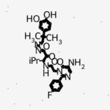 CC(C)[C@H](NC(=O)Cn1c(-c2ccc(F)cc2)ncc(N)c1=O)C(=O)c1nnc(C(C)(C)c2ccc(O)c(O)c2)o1